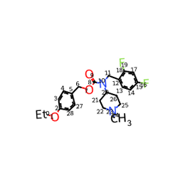 CCOc1ccc(COC(=O)N(Cc2ccc(F)cc2F)C2CCN(C)CC2)cc1